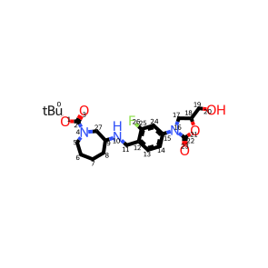 CC(C)(C)OC(=O)N1CCCCC(NCc2ccc(N3CC(CO)OC3=O)cc2F)C1